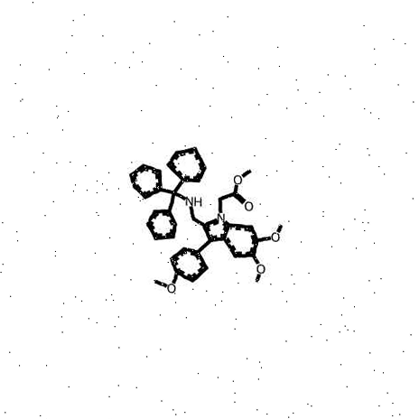 COC(=O)Cn1c(CNC(c2ccccc2)(c2ccccc2)c2ccccc2)c(-c2ccc(OC)cc2)c2cc(OC)c(OC)cc21